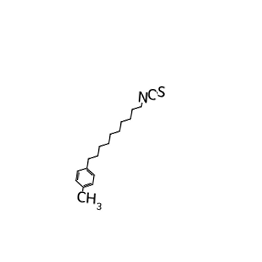 Cc1ccc(CCCCCCCCCCN=C=S)cc1